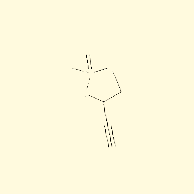 C#CC1CSP(C)(=S)S1